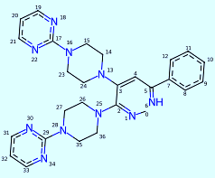 C/N=C(\C(=C/C(=N)c1ccccc1)N1CCN(c2ncccn2)CC1)N1CCN(c2ncccn2)CC1